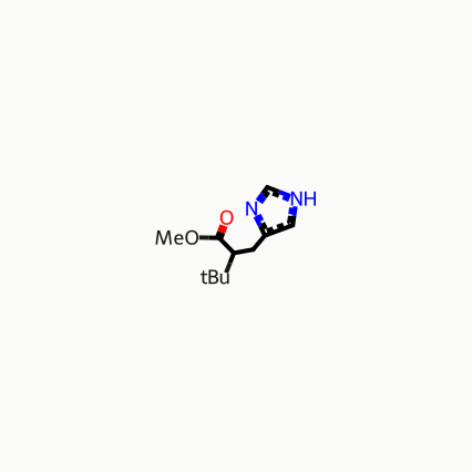 COC(=O)C(Cc1c[nH]cn1)C(C)(C)C